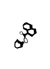 O=C(OC1CCCCC1)c1cccc2ccccc12